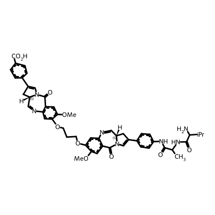 COc1cc2c(cc1OCCCOc1cc3c(cc1OC)C(=O)N1C=C(c4ccc(C(=O)O)cc4)C[C@H]1C=N3)N=C[C@@H]1CC(c3ccc(NC(=O)C(C)NC(=O)C(N)C(C)C)cc3)=CN1C2=O